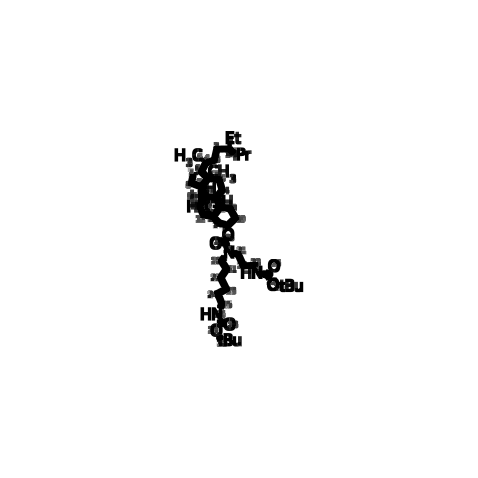 CC[C@H](CC[C@@H](C)[C@H]1CC[C@H]2[C@@H]3CC=C4C[C@@H](OC(=O)N(CCCCCCNC(=O)OC(C)(C)C)CCCNC(=O)OC(C)(C)C)CC[C@]4(C)[C@H]3CC[C@]12C)C(C)C